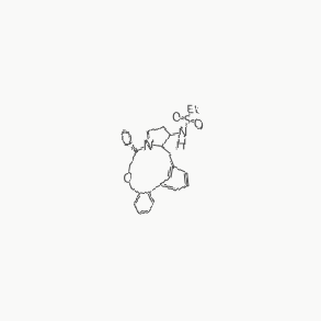 CCS(=O)(=O)NC1CCN2C(=O)COCc3ccccc3-c3cccc(c3)CC12